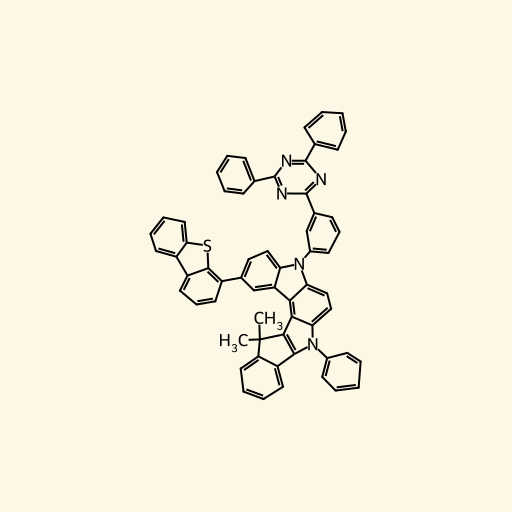 CC1(C)c2ccccc2-c2c1c1c3c4cc(-c5cccc6c5sc5ccccc56)ccc4n(-c4cccc(-c5nc(-c6ccccc6)nc(-c6ccccc6)n5)c4)c3ccc1n2-c1ccccc1